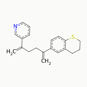 C=C(CCC(=C)c1ccc2c(c1)CCCS2)c1cccnc1